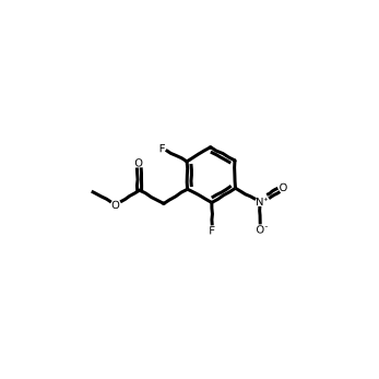 COC(=O)Cc1c(F)ccc([N+](=O)[O-])c1F